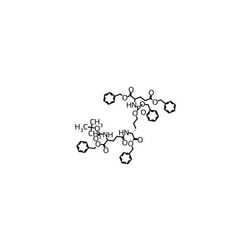 CC(C)(C)OC(=O)NC(CCC(=O)N[C@H](CCCO[P@](=O)(NC(CCC(=O)OCc1ccccc1)C(=O)OCc1ccccc1)OCc1ccccc1)C(=O)OCc1ccccc1)C(=O)OCc1ccccc1